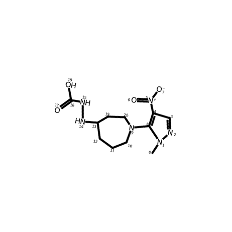 Cn1ncc([N+](=O)[O-])c1N1CCCC(NNC(=O)O)CC1